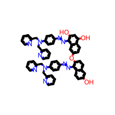 Oc1ccc2c(/N=N/c3ccc(N(Cc4ccccn4)Cc4ccccn4)cc3)c(Oc3ccc4c(O)cc(O)c(/N=N/c5ccc(N(Cc6ccccn6)Cc6ccccn6)cc5)c4c3)ccc2c1